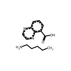 CCCCCN.O=C(O)c1cccc2nccnc12